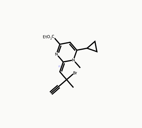 C#CC(C)(Br)/C=C1/N=C(C(=O)OCC)C=C(C2CC2)N1C